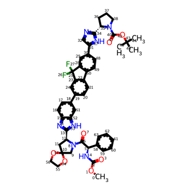 COC(=O)N[C@@H](C(=O)N1CC2(C[C@H]1c1nc3ccc(-c4ccc5c(c4)C(F)(F)c4cc(-c6cnc([C@@H]7CCCN7C(=O)OC(C)(C)C)[nH]6)ccc4-5)cc3[nH]1)OCCO2)c1ccccc1